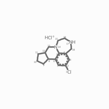 Cl.Clc1cc2c3c(c1)C1CCCC1CN3CCNC2